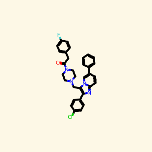 O=C(Cc1ccc(F)cc1)N1CCN(Cc2c(-c3ccc(Cl)cc3)nc3ccc(-c4ccccc4)cn23)CC1